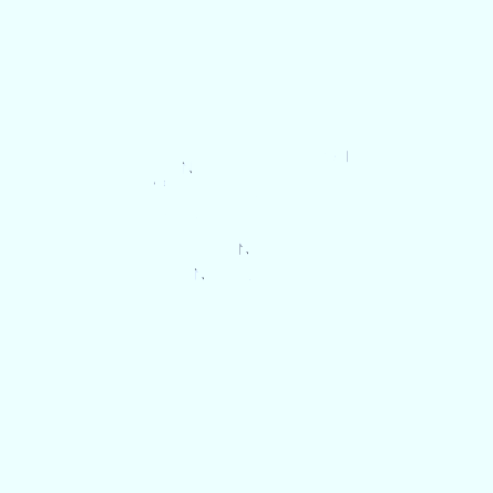 CCc1noc(C)c1-c1nc2ccccc2n1-c1ccc(O)cc1